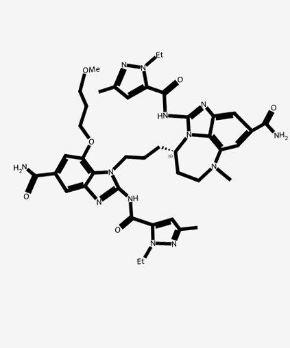 CCn1nc(C)cc1C(=O)Nc1nc2cc(C(N)=O)cc(OCCCOC)c2n1CCC[C@H]1CCN(C)c2cc(C(N)=O)cc3nc(NC(=O)c4cc(C)nn4CC)n1c23